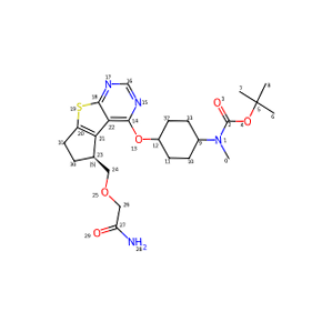 CN(C(=O)OC(C)(C)C)C1CCC(Oc2ncnc3sc4c(c23)[C@@H](COCC(N)=O)CC4)CC1